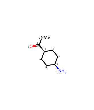 CNC(=O)[C@H]1CC[C@@H](N)CC1